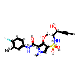 CC#C[C@H](O)[C@H]1COc2c(cn(C)c2C(=O)Nc2ccc(F)c(C#N)c2)S(=O)(=O)N1